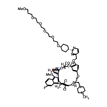 C/N=C1/O[C@@H](C(=O)O)Cc2cc(ccc2OCc2ccnc([C@H]3CC[C@H](OCCOCCOCCOCCOCCCOC)CC3)n2)OC[C@@H](CN2CCN(C)CC2)Oc2c(Cl)c(C)c3c(c(SC)c4ccc(F)cc4c3c2Cl)/C1=C/NC